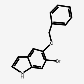 Brc1cc2[nH]ccc2cc1OCc1ccccc1